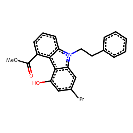 COC(=O)c1cccc2c1c1c(O)cc(C(C)C)cc1n2CCc1ccccc1